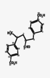 CC(CC(C=O)Cc1ccc(C(=O)O)cc1)c1ccc(C(=O)O)cc1